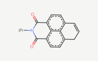 CC(C)N1C(=O)c2ccc3c4c(ccc(c24)C1=O)CC=C3